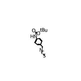 CC(C)(C)OC(=O)Nc1ccc(CN=C=S)cc1